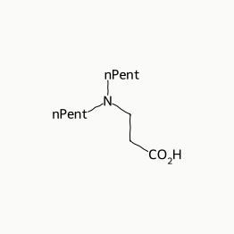 CCCCCN(CCCCC)CCC(=O)O